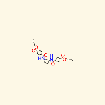 CCCCOC(=O)c1ccc(C(=O)Nc2cccc(NC(=O)c3ccc(C(=O)OCCCC)cc3)c2)cc1